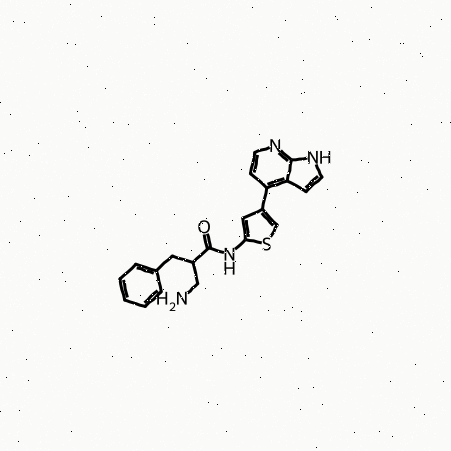 NCC(Cc1ccccc1)C(=O)Nc1cc(-c2ccnc3[nH]ccc23)cs1